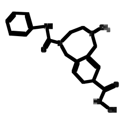 CN1CCN(C(=O)Nc2ccccc2)CC2=CCC(C(=O)NO)C=C2C1